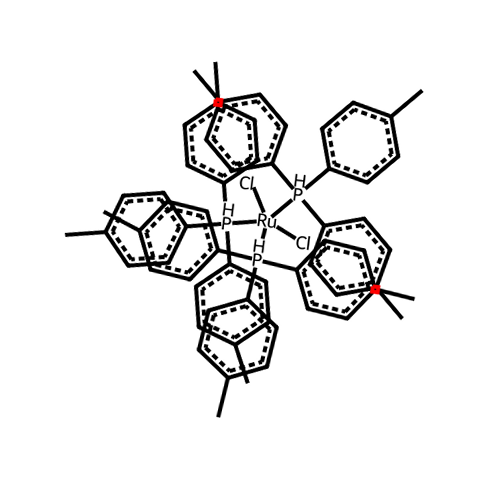 Cc1ccc([PH](c2ccc(C)cc2)(c2ccc(C)cc2)[Ru]([Cl])([Cl])([PH](c2ccc(C)cc2)(c2ccc(C)cc2)c2ccc(C)cc2)[PH](c2ccc(C)cc2)(c2ccc(C)cc2)c2ccc(C)cc2)cc1